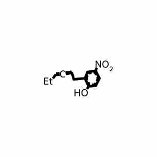 CCC=C=CCc1cc([N+](=O)[O-])ccc1O